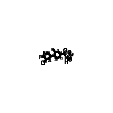 Cc1cc(C(=O)NS(C)(=O)=O)ccc1-c1cnc(F)c(Cl)c1